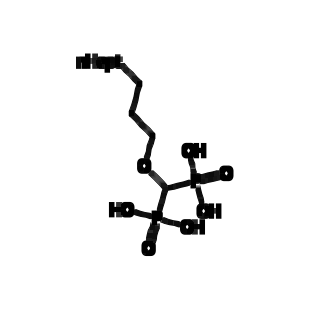 CCCCCCCCCCOC(P(=O)(O)O)P(=O)(O)O